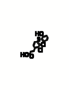 O=C(O)C=Cc1ccc(Sc2ccccc2O)c(Cl)c1Cl